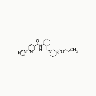 C=CCOC[C@@H]1CCCN(CC2CCCCC2NC(=O)c2ccc(-n3ccnc3)nc2)C1